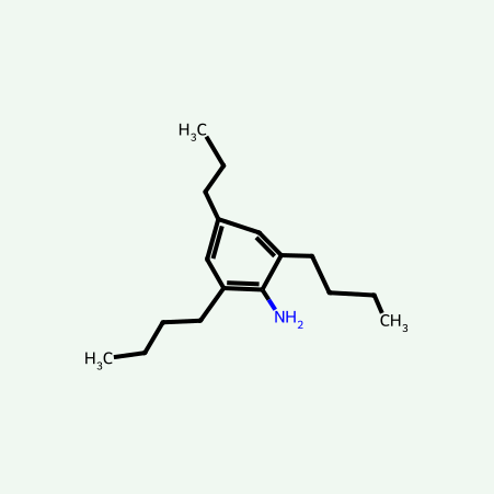 CCCCc1cc(CCC)cc(CCCC)c1N